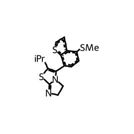 CSc1ccc(C2=C(C(C)C)SC3=NCCN32)c2sccc12